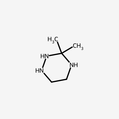 CC1(C)NCCNN1